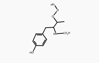 CCCOOC(C)C(Cc1ccc(O)cc1)NC(=O)O